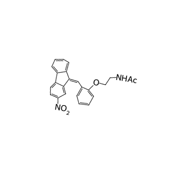 CC(=O)NCCOc1ccccc1C=C1c2ccccc2-c2ccc([N+](=O)[O-])cc21